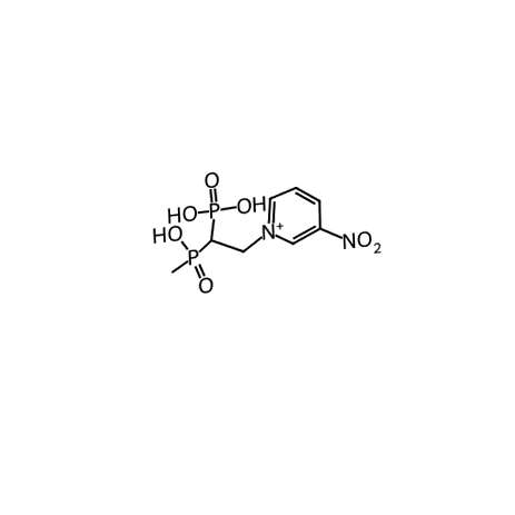 CP(=O)(O)C(C[n+]1cccc([N+](=O)[O-])c1)P(=O)(O)O